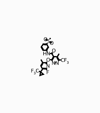 Cc1cc(C2(C(F)(F)F)CC2)c(F)nc1Oc1nnc(C(F)(F)F)c(C)c1C(=O)Nc1cccc(S(C)(=O)=O)c1